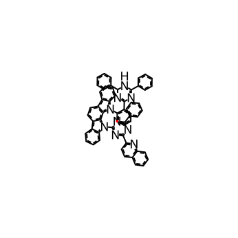 c1ccc(C2=NC(c3ccccc3-n3c4ccccc4c4ccc5c6ccccc6n(-c6nc(-c7ccccc7)nc(-c7ccc8ccccc8n7)n6)c5c43)=NC(c3ccccc3)N2)cc1